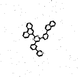 C1=CC2=c3ccccc3=CC(c3nc(-c4cccc(-c5cccnc5)c4)cc(-c4cccc(-c5ccc6ccccc6c5)c4)n3)C2C=C1